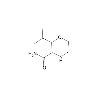 CC(C)C1OCCNC1C(N)=O